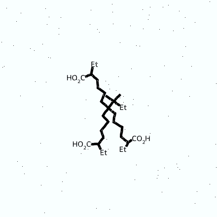 CCC(CCCCC(CCCCC(CC)C(=O)O)(CCCCC(CC)C(=O)O)C(C)(C)CC)C(=O)O